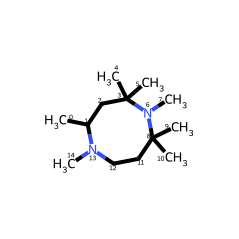 CC1CC(C)(C)N(C)C(C)(C)CCN1C